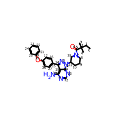 CCC(C)(C)C(=O)N1CCCC(n2nc(-c3ccc(Oc4ccccc4)cc3)c3c(N)ncnc32)C1